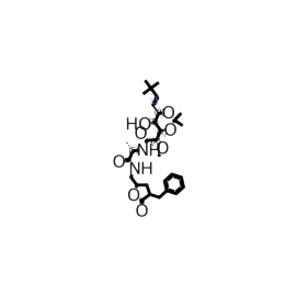 CO[C@@H](C(=O)N[C@@H](C)C(=O)NCC1CC(Cc2ccccc2)C(=O)O1)[C@@H]1OC(C)(C)O[C@H](/C=C/C(C)(C)C)[C@@H]1O